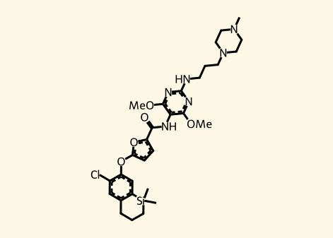 COc1nc(NCCCN2CCN(C)CC2)nc(OC)c1NC(=O)c1ccc(Oc2cc3c(cc2Cl)CCC[Si]3(C)C)o1